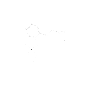 CCC(C)(S)Cc1ccccc1OCC1CO1